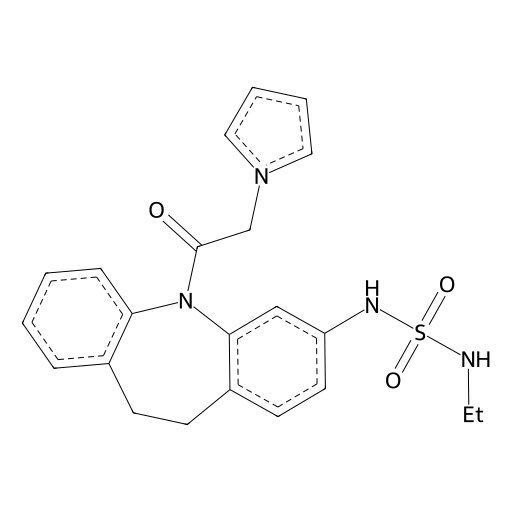 CCNS(=O)(=O)Nc1ccc2c(c1)N(C(=O)Cn1cccc1)c1ccccc1CC2